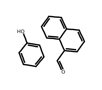 O=Cc1cccc2ccccc12.Oc1ccccc1